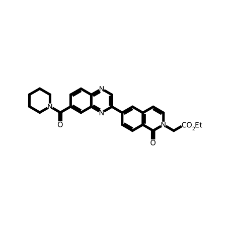 CCOC(=O)Cn1ccc2cc(-c3cnc4ccc(C(=O)N5CCCCC5)cc4n3)ccc2c1=O